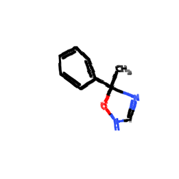 CC1(c2ccccc2)N=[C]NO1